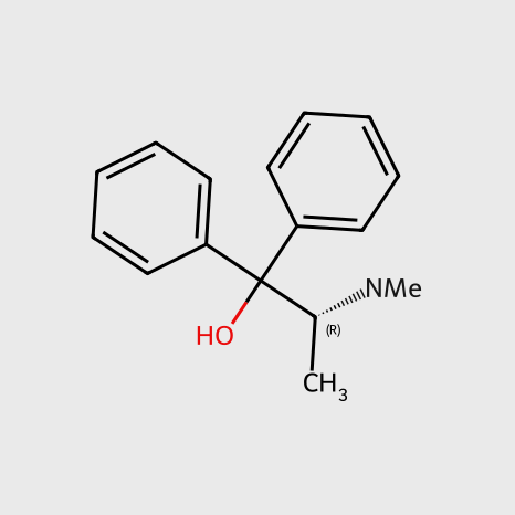 CN[C@H](C)C(O)(c1ccccc1)c1ccccc1